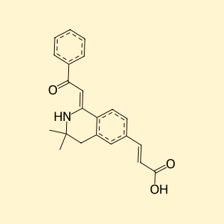 CC1(C)Cc2cc(C=CC(=O)O)ccc2C(=CC(=O)c2ccccc2)N1